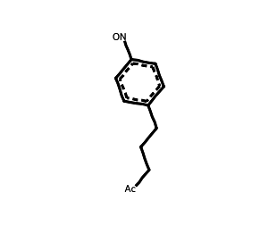 CC(=O)CCCc1ccc(N=O)cc1